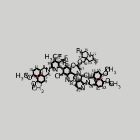 COc1ccc(CN(Cc2ccc(OC)cc2)c2cc(C)c(C(F)(F)F)c(-c3c(F)c4c5c(c3Cl)=NCNC=5N(C(C)c3cccnc3N(Cc3ccc(OC)cc3)Cc3ccc(OC)cc3)C=C(OCC35C[C@@H](F)CN3C[C@H](F)C5)O4)n2)cc1